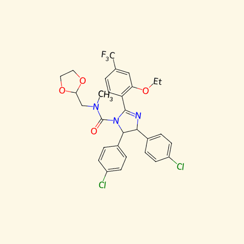 CCOc1cc(C(F)(F)F)ccc1C1=NC(c2ccc(Cl)cc2)C(c2ccc(Cl)cc2)N1C(=O)N(C)CC1OCCO1